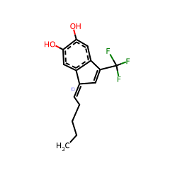 CCCC/C=C1\C=C(C(F)(F)F)c2cc(O)c(O)cc21